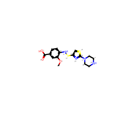 COc1cc(C(=O)O)ccc1NSc1csc(N2CCNCC2)n1